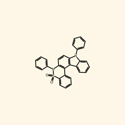 O=S1(=O)c2ccccc2-c2c(ccc3c2c2ccccc2n3-c2ccccc2)N1c1ccccc1